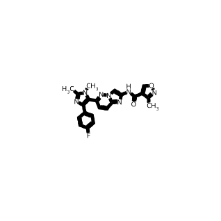 Cc1nocc1C(=O)Nc1cn2nc(-c3c(-c4ccc(F)cc4)nc(C)n3C)ccc2n1